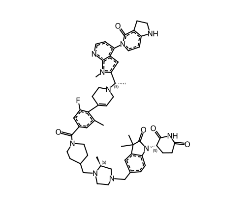 Cc1cc(C(=O)N2CCC(CN3CCN(Cc4ccc5c(c4)C(C)(C)C(=O)N5[C@H]4CCC(=O)NC4=O)C[C@@H]3C)CC2)cc(F)c1C1=CCN([C@@H](C)c2cc3c(-n4ccc5c(c4=O)CCN5)ccnc3n2C)CC1